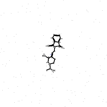 CB(O)N1CC/C(=C\CN2C(=O)c3ccccc3C2=O)C(O)C1